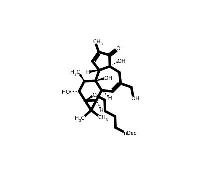 CCCCCCCCCCCCCCO[C@@]12[C@H](O)[C@@H](C)[C@@]3(O)[C@@H](C=C(CO)C[C@]4(O)C(=O)C(C)=C[C@@H]34)[C@H]1C2(C)C